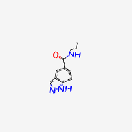 CCCNC(=O)c1ccc2[nH]ncc2c1